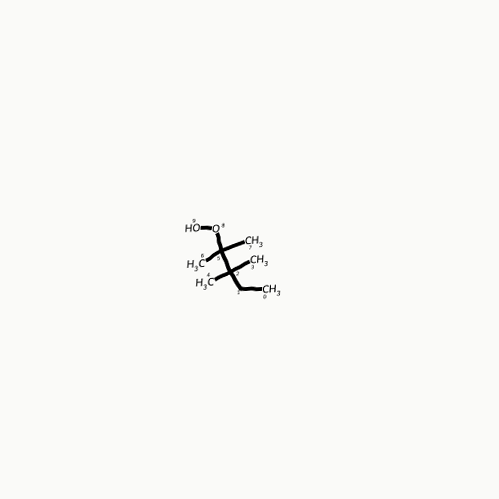 CCC(C)(C)C(C)(C)OO